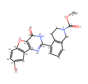 CC(C)(C)OC(=O)N1CCc2c(cccc2-c2nc3c(oc4ccc(Br)cc43)c(=O)[nH]2)C1